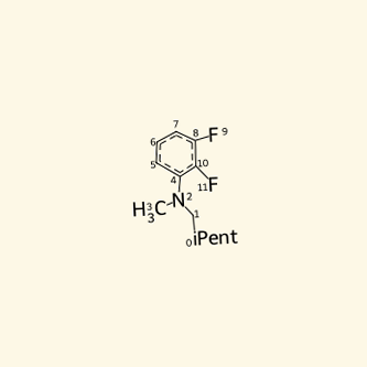 CCCC(C)CN(C)c1cccc(F)c1F